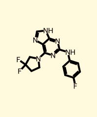 Fc1ccc(Nc2nc(N3CCC(F)(F)C3)c3nc[nH]c3n2)cc1